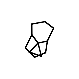 C1CC2CCCC(C1)C21CC1